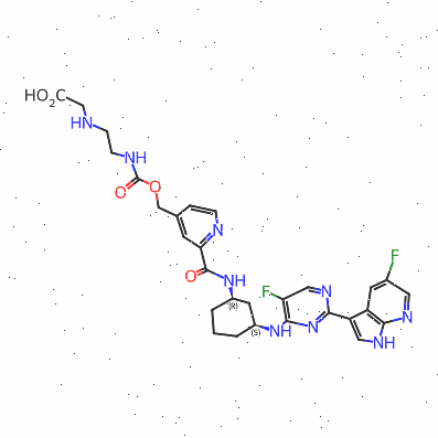 O=C(O)CNCCNC(=O)OCc1ccnc(C(=O)N[C@@H]2CCC[C@H](Nc3nc(-c4c[nH]c5ncc(F)cc45)ncc3F)C2)c1